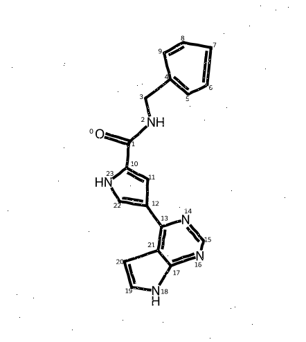 O=C(NCc1ccccc1)c1cc(-c2ncnc3[nH]ccc23)c[nH]1